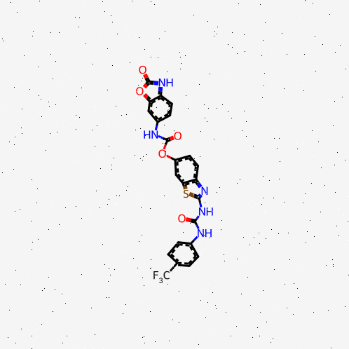 O=C(Nc1ccc(C(F)(F)F)cc1)Nc1nc2ccc(OC(=O)Nc3ccc4[nH]c(=O)oc4c3)cc2s1